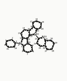 c1ccc(-n2c3ccccc3c3c2ccc2c4ccccc4n(-c4ccc5ccccc5n4)c23)cc1